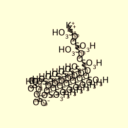 O=S(=O)(O)OOS(=O)(=O)O.O=S(=O)(O)OOS(=O)(=O)O.O=S(=O)(O)OOS(=O)(=O)O.O=S(=O)(O)OOS(=O)(=O)O.O=S(=O)(O)OOS(=O)(=O)O.O=S(=O)(O)OOS(=O)(=O)O.O=S(=O)(O)OOS(=O)(=O)O.O=S(=O)(O)OOS(=O)(=O)O.O=S(=O)(O)OOS(=O)(=O)O.O=S(=O)([O-])OOS(=O)(=O)[O-].[K+].[K+]